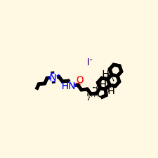 CCCC[N+](C)(C)CCCNC(=O)CC[C@@H](C)[C@H]1CC[C@H]2[C@@H]3CCC4CCCC[C@]4(C)[C@H]3CC[C@]12C.[I-]